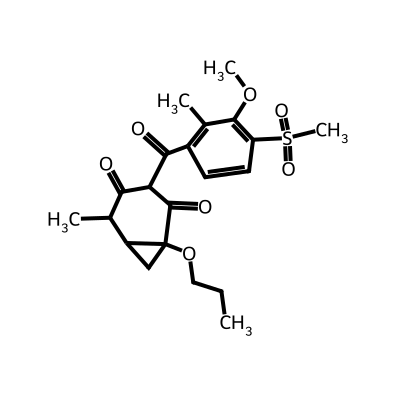 CCCOC12CC1C(C)C(=O)C(C(=O)c1ccc(S(C)(=O)=O)c(OC)c1C)C2=O